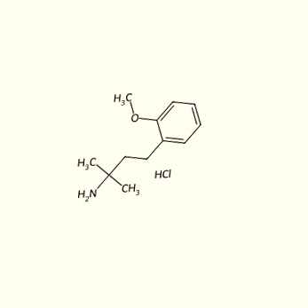 COc1ccccc1CCC(C)(C)N.Cl